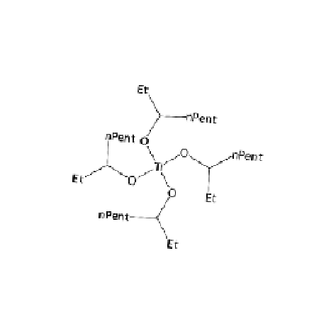 CCCCCC(CC)[O][Ti]([O]C(CC)CCCCC)([O]C(CC)CCCCC)[O]C(CC)CCCCC